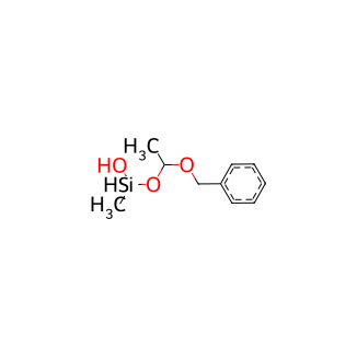 CC(OCc1ccccc1)O[SiH](C)O